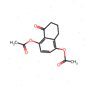 CC(=O)Oc1ccc(OC(C)=O)c2c1CCCC2=O